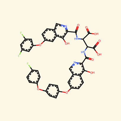 O=C(NC(C(=O)O)C(NC(=O)c1ncc2ccc(Oc3cc(F)cc(F)c3)cc2c1O)C(=O)O)c1ncc2cc(Oc3ccc(Oc4ccc(F)cc4)cc3)ccc2c1O